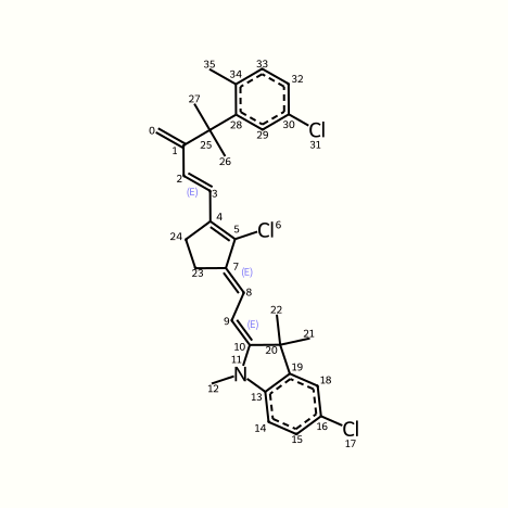 C=C(/C=C/C1=C(Cl)C(=C/C=C2/N(C)c3ccc(Cl)cc3C2(C)C)/CC1)C(C)(C)c1cc(Cl)ccc1C